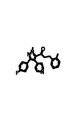 Cc1ccccc1CCC(=O)c1c(-c2ccncc2)c(-c2ccc(F)cc2)nn1C